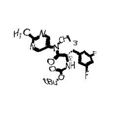 Cc1ncc(N(C)C(=O)[C@H](Cc2cc(F)cc(F)c2)NC(=O)OC(C)(C)C)cn1